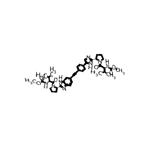 COC(=O)N[C@H](C(=O)N1CCC[C@H]1c1nc2ccc(C#Cc3ccc(-c4cnc([C@@H]5CCCN5C(=O)[C@H](NC(=O)OC)C(C)C)[nH]4)cc3)cc2[nH]1)C(C)C